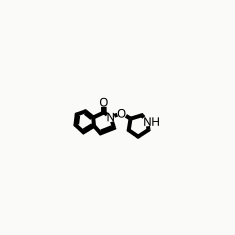 O=c1c2ccccc2ccn1OC1CCCNC1